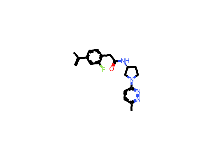 C=C(C)c1ccc(CC(=O)N[C@H]2CCN(c3ccc(C)nn3)C2)c(F)c1